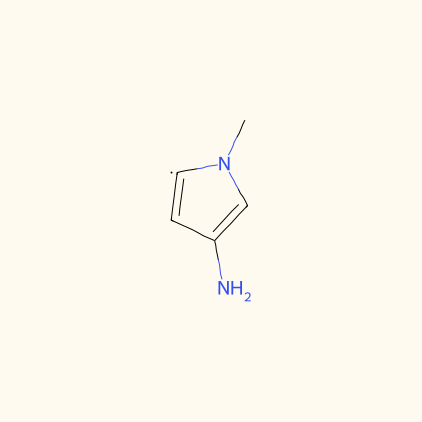 Cn1[c]cc(N)c1